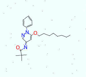 CCCCCCCCOc1cc(=NC(=O)C(C)(C)C)cnn1-c1ccccc1